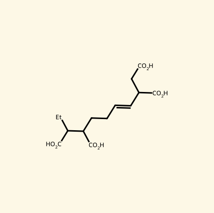 CCC(C(=O)O)C(CCC=CC(CC(=O)O)C(=O)O)C(=O)O